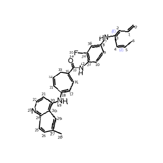 C=C/C=C(\C=C/C)Nc1ccc(NC(=O)C2=CC=C(Nc3ccnc4ccc(C)cc34)C=CC2)c(F)c1